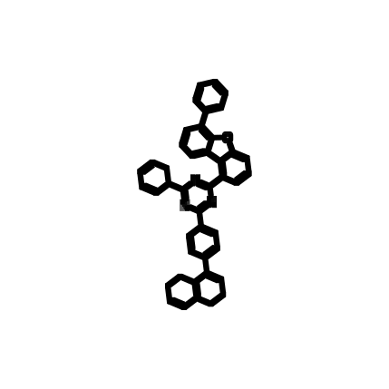 C1=CCC(c2nc(-c3ccc(C4=CCCC5=C4CCC=C5)cc3)nc(-c3cccc4oc5c(-c6ccccc6)cccc5c34)n2)C=C1